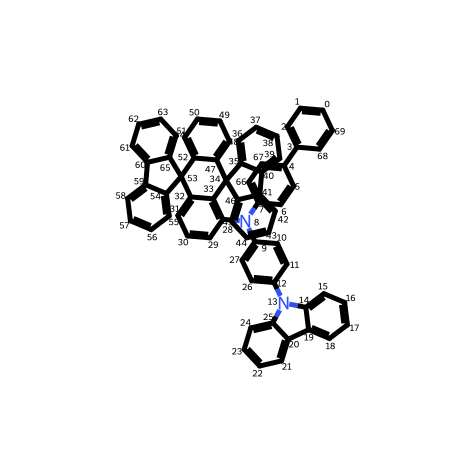 c1ccc(-c2ccc(N(c3ccc(-n4c5ccccc5c5ccccc54)cc3)c3cccc4c3C3(c5ccccc5-c5ccccc53)c3ccccc3C43c4ccccc4-c4ccccc43)cc2)cc1